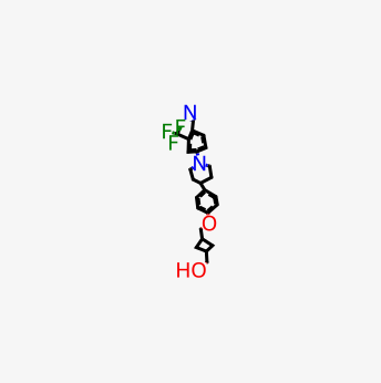 N#Cc1ccc(N2CCC(c3ccc(OCC4CC(CO)C4)cc3)CC2)cc1C(F)(F)F